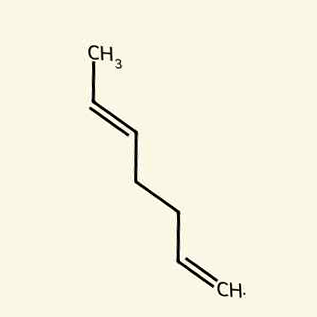 [CH]=CCCC=CC